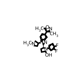 Cc1noc(C)c1-c1ccc2c(c1)nc([C@@H]1CCC(O)N1c1ccc(F)c(F)c1)n2C1CCN(C)C1